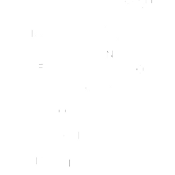 Cc1c(CC(=O)O)c2cc(O)c(F)cc2n1C(=O)c1ccc(OC(F)(F)C(F)F)s1